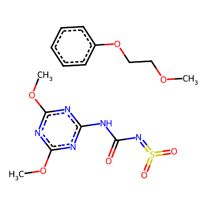 COCCOc1ccccc1.COc1nc(NC(=O)N=S(=O)=O)nc(OC)n1